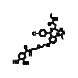 CCNC(=O)C[C@@H]1N=C(c2ccc(Cl)cc2)c2cc(OCCOCCNC(=O)c3ccc(O)c(O)c3)ccc2-n2c(C)nnc21